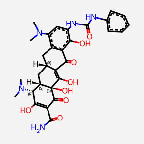 CN(C)c1cc(NC(=O)Nc2ccccc2)c(O)c2c1C[C@H]1C[C@H]3[C@@H](N(C)C)C(O)=C(C(N)=O)C(=O)[C@@]3(O)C(O)=C1C2=O